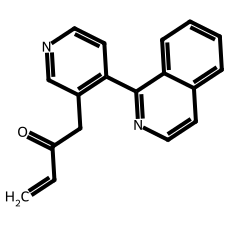 C=CC(=O)Cc1cnccc1-c1nccc2ccccc12